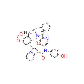 Cc1ccc(N(C(=O)c2cc(-c3cc4c(cc3C(=O)N3Cc5ccccc5C[C@H]3C)OCO4)n3ccccc23)c2ccc(O)cc2)cn1